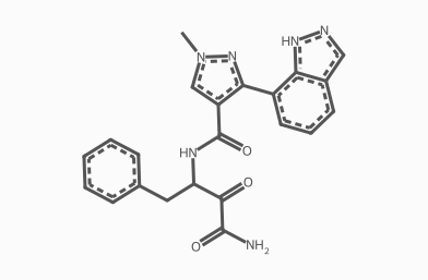 Cn1cc(C(=O)NC(Cc2ccccc2)C(=O)C(N)=O)c(-c2cccc3cn[nH]c23)n1